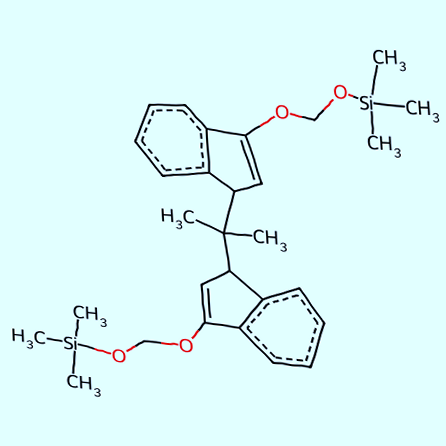 CC(C)(C1C=C(OCO[Si](C)(C)C)c2ccccc21)C1C=C(OCO[Si](C)(C)C)c2ccccc21